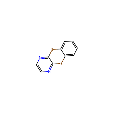 c1ccc2c(c1)Sc1nccnc1S2